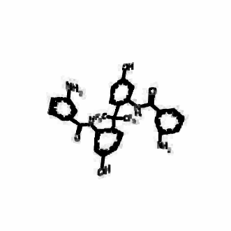 Nc1cccc(C(=O)Nc2cc(O)ccc2C(c2ccc(O)cc2NC(=O)c2cccc(N)c2)(C(F)(F)F)C(F)(F)F)c1